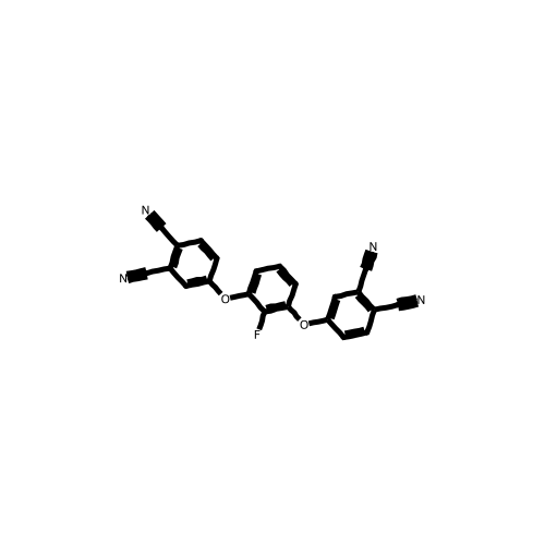 N#Cc1ccc(Oc2cccc(Oc3ccc(C#N)c(C#N)c3)c2F)cc1C#N